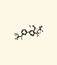 CCCC(=O)OS(=O)(=O)c1ccc(-c2cccc(NC(=N)N)c2)cc1NC=O